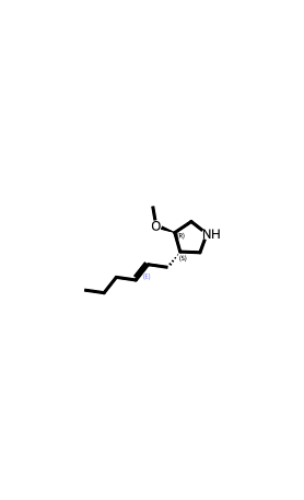 CCC/C=C/C[C@H]1CNC[C@@H]1OC